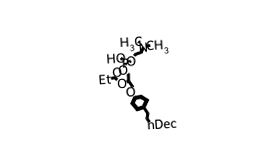 CCCCCCCCCCCCc1ccc(OCC(COP(O)OCCN(C)C)OC(=O)CC)cc1